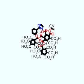 CC(C#N)OC(=O)c1c(C(=O)O)c(C(=O)O)c(C(=O)OC(=O)c2c(C(=O)O)c(C(=O)O)c(C(=O)O)c(C(=O)O)c2C(=O)O)c(C(=O)OC(=O)c2c(C(=O)O)c(C(=O)O)c(C(=O)O)c(C(=O)O)c2C(=O)O)c1C(=O)On1ccnc1-c1ccccc1